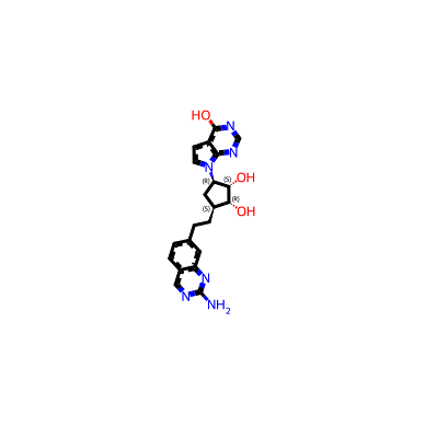 Nc1ncc2ccc(CC[C@H]3C[C@@H](n4ccc5c(O)ncnc54)[C@H](O)[C@@H]3O)cc2n1